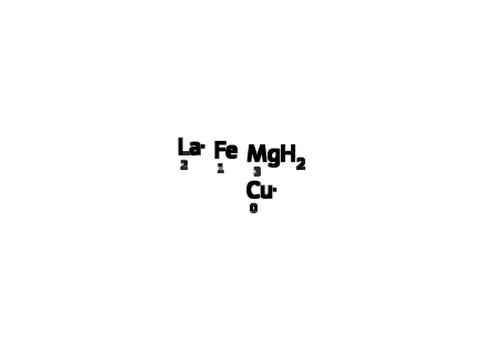 [Cu].[Fe].[La].[MgH2]